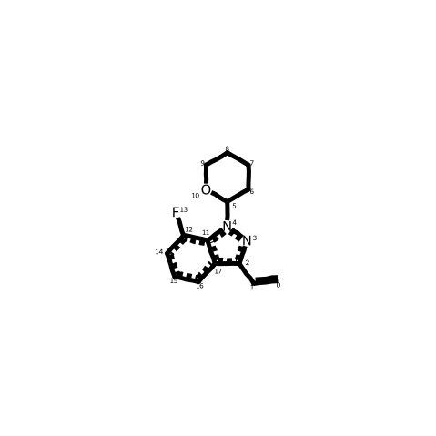 C=Cc1nn(C2CCCCO2)c2c(F)cccc12